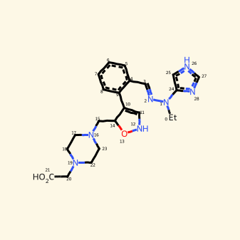 CCN(N=Cc1ccccc1C1=CNOC1CN1CCN(CC(=O)O)CC1)c1c[nH]cn1